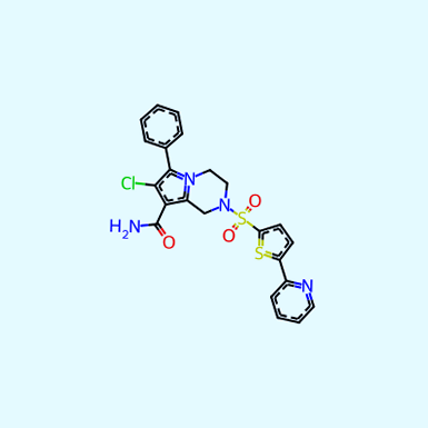 NC(=O)c1c(Cl)c(-c2ccccc2)n2c1CN(S(=O)(=O)c1ccc(-c3ccccn3)s1)CC2